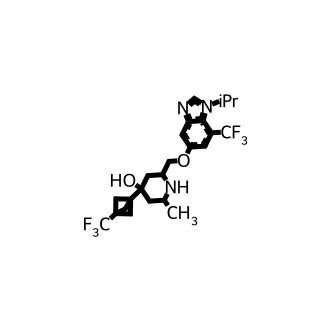 CC1CC(O)(C23CC(C(F)(F)F)(C2)C3)CC(COc2cc(C(F)(F)F)c3c(c2)ncn3C(C)C)N1